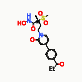 CCC(=O)c1ccc(-c2ccn(CC[C@](C)(C(=O)NO)S(C)(=O)=O)c(=O)c2)cc1